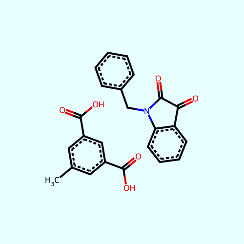 Cc1cc(C(=O)O)cc(C(=O)O)c1.O=C1C(=O)N(Cc2ccccc2)c2ccccc21